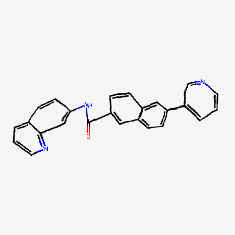 O=C(Nc1ccc2cccnc2c1)c1ccc2cc(-c3cccnc3)ccc2c1